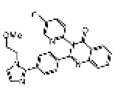 COCCn1ccnc1-c1ccc(-c2nc3ccccc3c(=O)n2-c2ccc(Cl)cn2)cc1